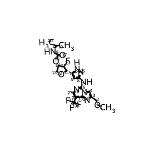 COCc1cn2c(Nc3cc([C@@H]4OC[C@H](OC(=O)NC(C)C)[C@H]4F)[nH]n3)ncc(C(F)(F)F)c2n1